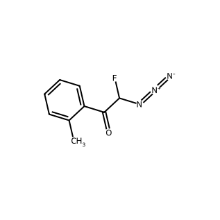 Cc1ccccc1C(=O)C(F)N=[N+]=[N-]